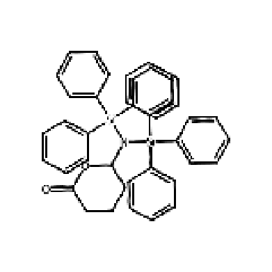 O=C1CCCC(N([Si](c2ccccc2)(c2ccccc2)c2ccccc2)[Si](c2ccccc2)(c2ccccc2)c2ccccc2)O1